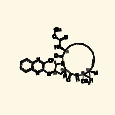 CC(C)(C)OC(=O)N[C@H]1CCCCCC=C[C@@H]2C[C@@]2(C(=O)O)NC(=O)[C@@H]2C[C@@H](Oc3nc4ccccc4nc3C(F)(F)F)CN2C1=O